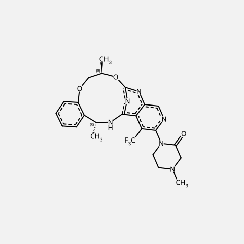 C[C@@H]1COc2ccccc2[C@@H](C)Nc2nc(nc3cnc(N4CCN(C)CC4=O)c(C(F)(F)F)c23)O1